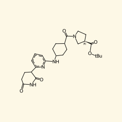 CC(C)(C)OC(=O)[C@@H]1CCN(C(=O)C2CCC(Nc3cccc(C4CCC(=O)NC4=O)n3)CC2)C1